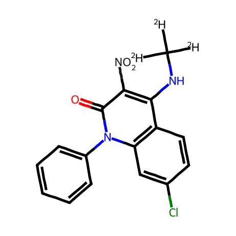 [2H]C([2H])([2H])Nc1c([N+](=O)[O-])c(=O)n(-c2ccccc2)c2cc(Cl)ccc12